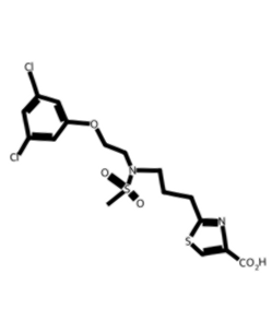 CS(=O)(=O)N(CCCc1nc(C(=O)O)cs1)CCOc1cc(Cl)cc(Cl)c1